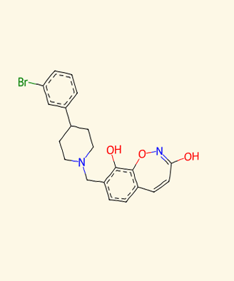 OC1=NOc2c(ccc(CN3CCC(c4cccc(Br)c4)CC3)c2O)C=C1